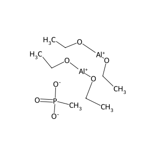 CC[O][Al+][O]CC.CC[O][Al+][O]CC.CP(=O)([O-])[O-]